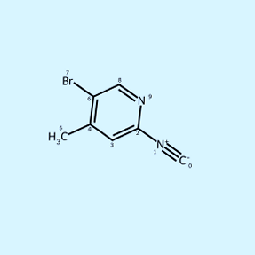 [C-]#[N+]c1cc(C)c(Br)cn1